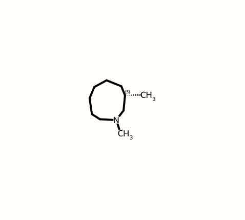 C[C@H]1CCCCCCN(C)C1